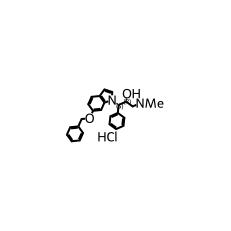 CNC[C@@H](O)[C@H](c1ccccc1)n1ccc2ccc(OCc3ccccc3)cc21.Cl